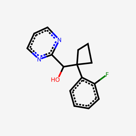 OC(c1ncccn1)C1(c2ccccc2F)CCC1